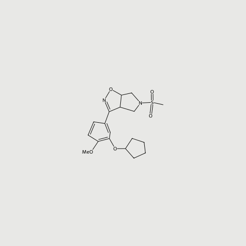 COc1ccc(C2=NOC3CN(S(C)(=O)=O)CC23)cc1OC1CCCC1